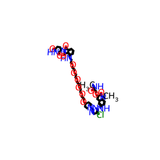 CNC(=O)COc1cc2cc(Nc3nc(N4CCC(OCCOCCOCCOCCOCCOCCNc5cccc6c5C(=O)N(C5CCC(=O)NC5=O)C6=O)CC4)ncc3Cl)ccc2n(C)c1=O